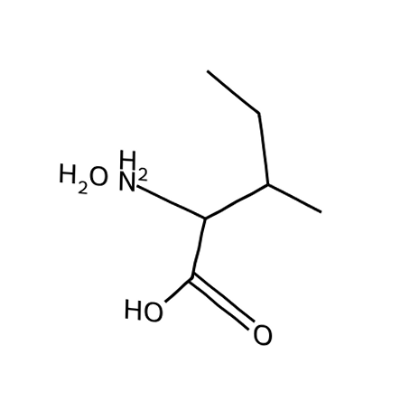 CCC(C)C(N)C(=O)O.O